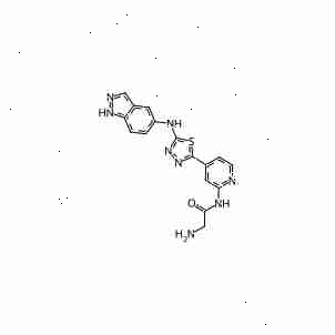 NCC(=O)Nc1cc(-c2nnc(Nc3ccc4[nH]ncc4c3)s2)ccn1